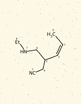 C/C=C\C(CC#N)CNCC